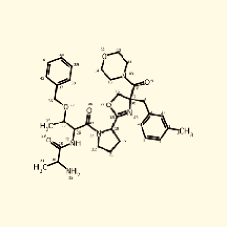 Cc1cccc(C[C@]2(C(=O)N3CCOCC3)COC(C3CCCN3C(=O)C(NC(=O)C(C)N)C(C)OCc3ccccc3)=N2)c1